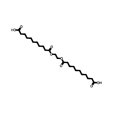 O=C(O)CCCCCCCCCC(=O)OCCOC(=O)CCCCCCCCCC(=O)O